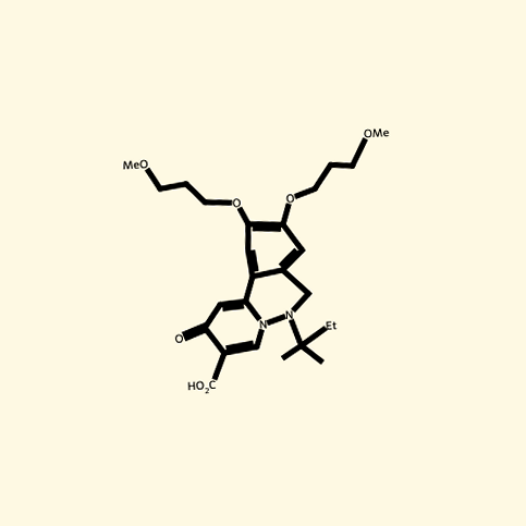 CCC(C)(C)N1Cc2cc(OCCCOC)c(OCCCOC)cc2-c2cc(=O)c(C(=O)O)cn21